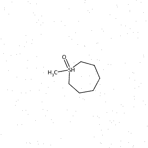 C[SH]1(=O)CCCCCC1